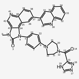 Cn1c(=O)n(-c2ccc(N3CCN(C(=O)c4nnc[nH]4)CC3)cc2)c2c3cc(-c4cnc5ccccc5c4)ccc3ncc21